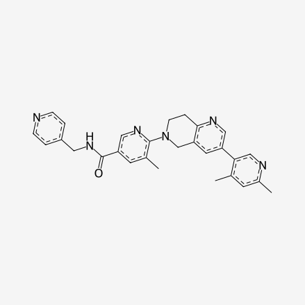 Cc1cc(C)c(-c2cnc3c(c2)CN(c2ncc(C(=O)NCc4ccncc4)cc2C)CC3)cn1